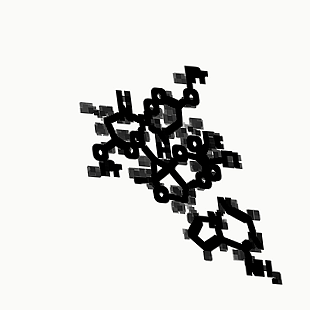 CCC(=O)O[C@H]1[C@H](c2ccc3c(N)ncnn23)O[C@]2(C)C(OP(=O)(N[C@@H](C)C(=O)OC(C)C)N[C@@H](C)C(=O)OC(C)C)[C@]12OC(=O)CC